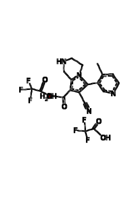 Cc1ccncc1-c1c(C#N)c(C(N)=O)c2n1CCNC2.O=C(O)C(F)(F)F.O=C(O)C(F)(F)F